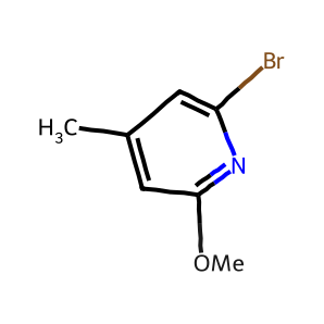 COc1cc(C)cc(Br)n1